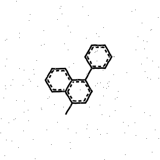 Cc1ccc(-c2c[c]ccc2)c2ccccc12